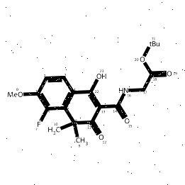 COc1ccc2c(c1F)C(C)(C)C(=O)C(C(=O)NCC(=O)OC(C)(C)C)=C2O